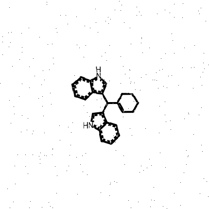 C1=C(C(c2c[nH]c3ccccc23)c2c[nH]c3ccccc23)CCCC1